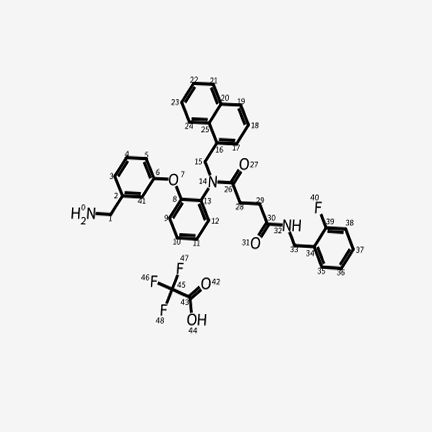 NCc1cccc(Oc2ccccc2N(Cc2cccc3ccccc23)C(=O)CCC(=O)NCc2ccccc2F)c1.O=C(O)C(F)(F)F